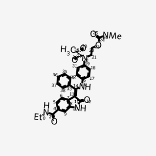 CCNC(=O)c1ccc2c(c1)NC(=O)/C2=C(\Nc1ccc(N(CCOC(=O)NC)S(C)(=O)=O)cc1)c1ccccc1